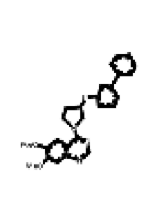 COc1cc2ncnc(N3CCC(Oc4cccc(-c5ccccc5)c4)C3)c2cc1OC